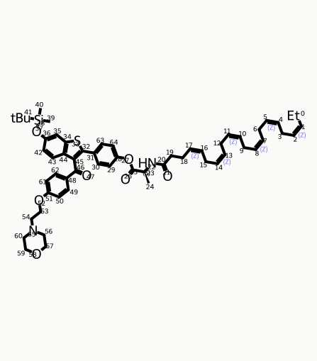 CC/C=C\C/C=C\C/C=C\C/C=C\C/C=C\C/C=C\CCC(=O)N[C@@H](C)C(=O)Oc1ccc(-c2sc3cc(O[Si](C)(C)C(C)(C)C)ccc3c2C(=O)c2ccc(OCCN3CCOCC3)cc2)cc1